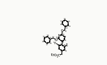 CCOC(=O)Cc1cc(F)c(-c2ccc(OCc3ccccc3)nc2OCc2ccccc2)c(F)c1